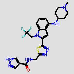 CN1CCC(Nc2cccc3c2cc(-c2nnc(CNC(=O)c4cn[nH]c4)s2)n3CC(F)(F)F)CC1